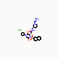 Cl.NN=CN1CCC[C@@H](CNC(=O)C[C@H]2C(=O)N(C3CCCC3)CC(=O)N2S(=O)(=O)c2ccc3ccccc3c2)C1